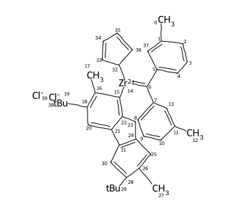 Cc1cccc([C](c2cccc(C)c2)=[Zr+2]([c]2c(C)c(C(C)(C)C)cc3c2Cc2cc(C)c(C(C)(C)C)cc2-3)[CH]2C=CC=C2)c1.[Cl-].[Cl-]